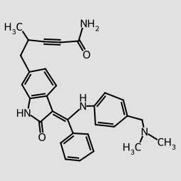 CC(C#CC(N)=O)Cc1ccc2c(c1)NC(=O)C2=C(Nc1ccc(CN(C)C)cc1)c1ccccc1